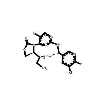 CC[C@@H](O)[C@H]1COC(=O)N1c1nc(N[C@@H](C)c2cnc(Cl)c(Cl)c2)ncc1F